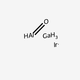 [GaH3].[Ir].[O]=[AlH]